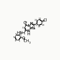 COc1ccccc1NCc1cc(=O)n2nc(-c3ccc(Cl)cc3)nc2[nH]1